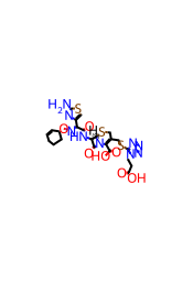 Nc1nc(C(=NOC2C=CCCC2)C(=O)NC2C(=O)N3C(C(=O)O)=C(CSc4nnnn4CCC(=O)O)CS[C@@H]23)cs1